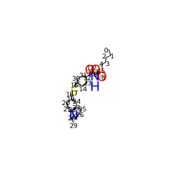 CCCCCCS(=O)(=O)NC(=O)c1ccc(CSCc2ccc3c(c2)CCN3CC)cc1